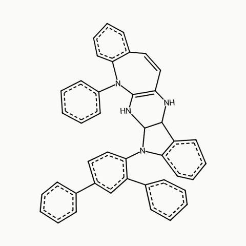 C1=Cc2ccccc2N(c2ccccc2)C2=C1NC1c3ccccc3N(c3ccc(-c4ccccc4)cc3-c3ccccc3)C1N2